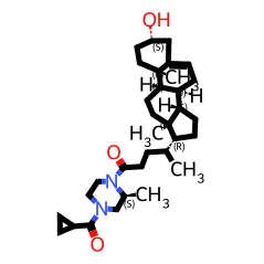 CC(CCC(=O)N1CCN(C(=O)C2CC2)C[C@@H]1C)[C@H]1CC[C@H]2[C@@H]3CC=C4C[C@@H](O)CC[C@]4(C)[C@H]3CC[C@]12C